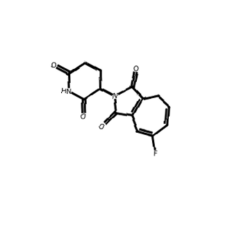 O=C1CCC(N2C(=O)C3=C(CC=CC(F)=C3)C2=O)C(=O)N1